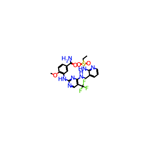 CCS(=O)(=O)Nc1ncccc1CNc1nc(Nc2cc(C(N)=O)ccc2OC)ncc1C(F)(F)F